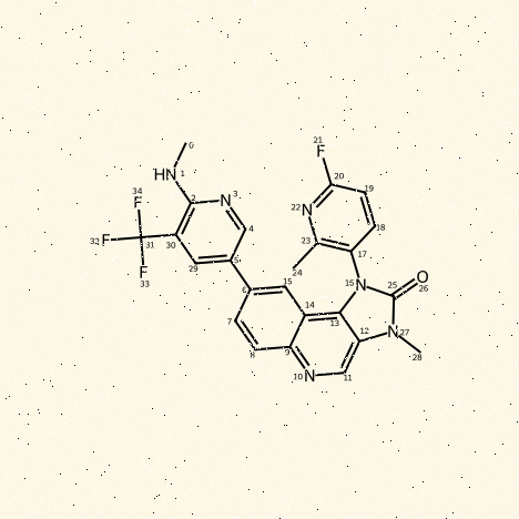 CNc1ncc(-c2ccc3ncc4c(c3c2)n(-c2ccc(F)nc2C)c(=O)n4C)cc1C(F)(F)F